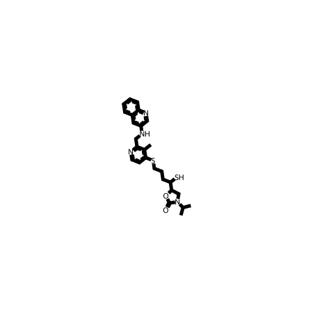 Cc1c(SCCCC(S)C2CN(C(C)C)C(=O)O2)ccnc1CNc1cnc2ccccc2c1